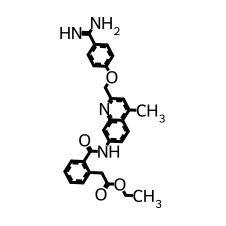 CCOC(=O)Cc1ccccc1C(=O)Nc1ccc2c(C)cc(COc3ccc(C(=N)N)cc3)nc2c1